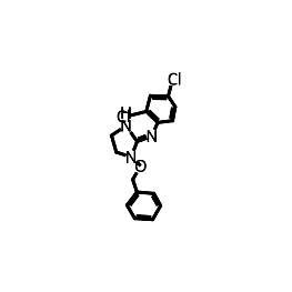 Clc1ccc(/N=C2\NCCN2OCc2ccccc2)c(Cl)c1